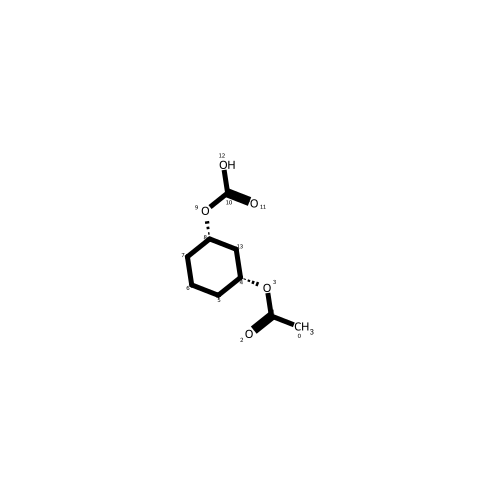 CC(=O)O[C@@H]1CCC[C@H](OC(=O)O)C1